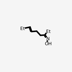 CC/C=C/CC/C(CC)=N\O